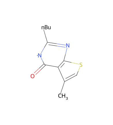 CCCCC1=Nc2scc(C)c2C(=O)[N]1